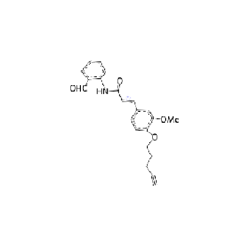 C#CCCCOc1ccc(/C=C/C(=O)Nc2ccccc2C=O)cc1OC